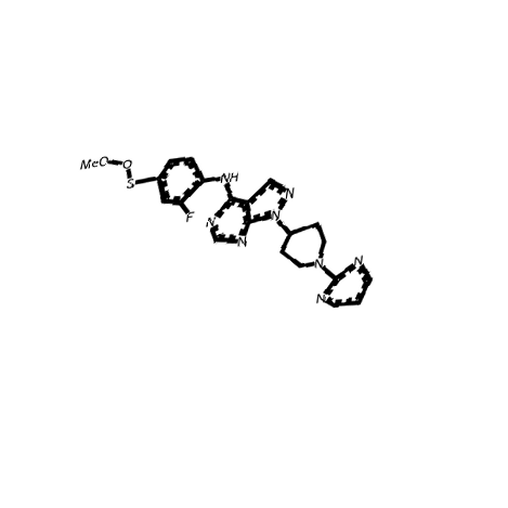 COOSc1ccc(Nc2ncnc3c2cnn3C2CCN(c3ncccn3)CC2)c(F)c1